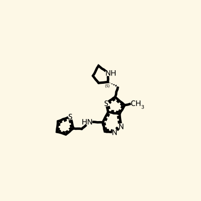 Cc1c(C[C@@H]2CCCN2)sc2c(NCc3cccs3)cnnc12